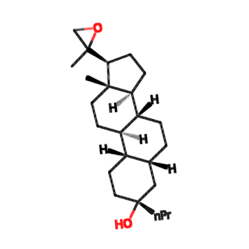 CCC[C@@]1(O)CC[C@H]2[C@H](CC[C@@H]3[C@@H]2CC[C@]2(C)[C@@H](C4(C)CO4)CC[C@@H]32)C1